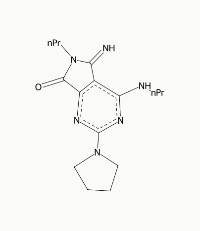 CCCNc1nc(N2CCCC2)nc2c1C(=N)N(CCC)C2=O